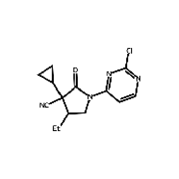 CCC1CN(c2ccnc(Cl)n2)C(=O)C1(C#N)C1CC1